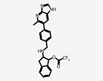 Cc1nc2nc[nH]c2cc1-c1ccc(CNC2Cc3ccccc3C2OC(=O)C(F)(F)F)cc1